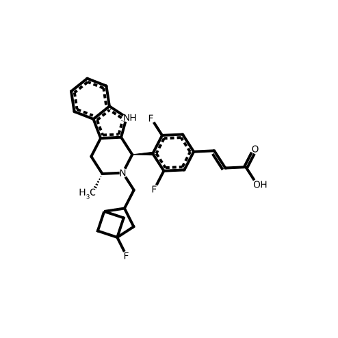 C[C@@H]1Cc2c([nH]c3ccccc23)[C@@H](c2c(F)cc(/C=C/C(=O)O)cc2F)N1CC1CC2(F)CC1C2